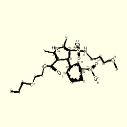 CCCOCCOC(=O)C1=C(C)NC(C)=C(S(=O)(=O)NCCCOC)C1c1cccc([N+](=O)[O-])c1